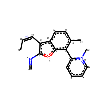 C=Nc1oc2c(-c3cccc[n+]3C)c(C)ccc2c1/C=C\C